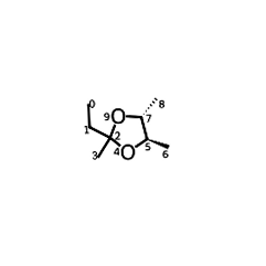 CCC1(C)O[C@H](C)[C@@H](C)O1